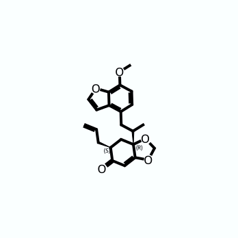 C=CC[C@H]1C[C@]2(C(C)Cc3ccc(OC)c4occc34)OCOC2=CC1=O